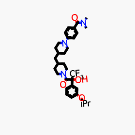 CC(C)Oc1cccc(C(O)(C(=O)N2CCC(CC3CCN(c4ccc(C(=O)N(C)C)cc4)CC3)CC2)C(F)(F)F)c1